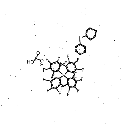 Fc1c(F)c(F)c(S(c2c(F)c(F)c(F)c(F)c2F)(c2c(F)c(F)c(F)c(F)c2F)c2c(F)c(F)c(F)c(F)c2F)c(F)c1F.[O-]B(O)O.c1ccc([I+]c2ccccc2)cc1